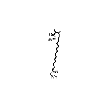 CCCOC(=O)CCCCCCCCCCCCCCC(C)C(C)C(=O)OCCC